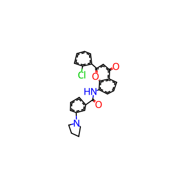 O=C(Nc1cccc2c(=O)cc(-c3ccccc3Cl)oc12)c1cccc(N2CCCC2)c1